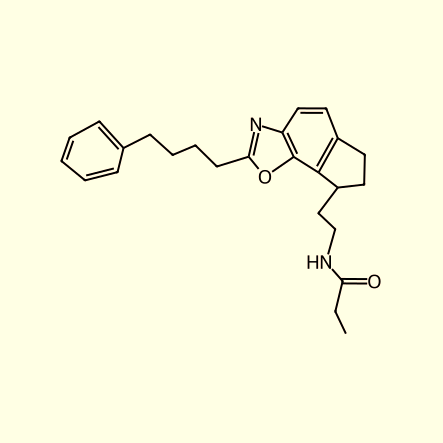 CCC(=O)NCCC1CCc2ccc3nc(CCCCc4ccccc4)oc3c21